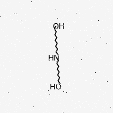 OCCCCCCCCCCNCCCCCCCCCO